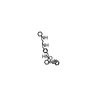 O=C(NCc1ccc(CNCCCNC2CCCCC2)cc1)C1CCCC[C@H]1NCc1ccccn1